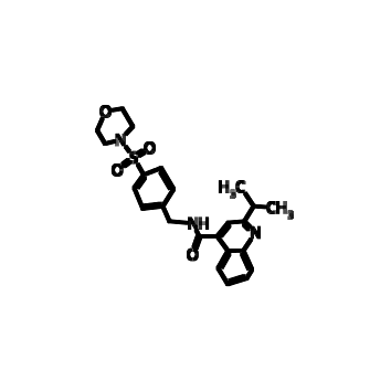 CC(C)c1cc(C(=O)NCc2ccc(S(=O)(=O)N3CCOCC3)cc2)c2ccccc2n1